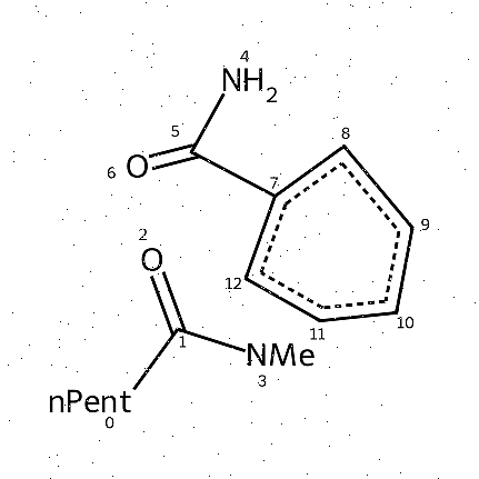 CCCCCC(=O)NC.NC(=O)c1ccccc1